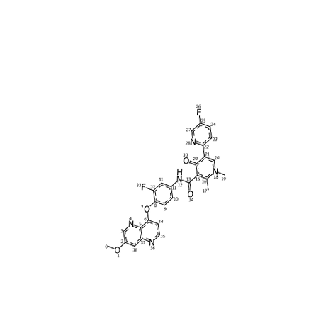 COc1cnc2c(Oc3ccc(NC(=O)c4c(C)n(C)cc(-c5ccc(F)cn5)c4=O)cc3F)ccnc2c1